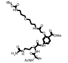 COC(=O)c1ccc(NC(=O)[C@H](CCCNC(N)=O)NC(=O)[C@@H](NC(C)=O)C(C)C)cc1OCC(=O)NCCCOCCCNC(=O)OC(C)(C)C